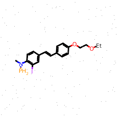 CCOCCOc1ccc(/C=C/c2ccc(N(C)P)c(I)c2)cc1